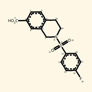 O=C(O)c1ccc2c(c1)CN(S(=O)(=O)c1ccc(F)cc1)CC2